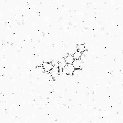 COC(=O)c1c(NS(=O)(=O)c2ccc(F)cc2Br)ccc2c1nc1n2CCC1